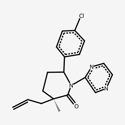 C=CC[C@@]1(C)CCC(c2ccc(Cl)cc2)N(c2cnccn2)C1=O